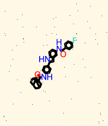 O=C(Nc1ccc2[nH]c(-c3ccc(NC(=O)C45CC6CC(CC(C6)C4)C5)cc3)cc2c1)c1ccc(F)cc1